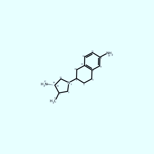 CC1CN(C2CCc3cc(N)ccc3C2)C[C@H]1N